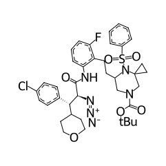 CC(C)(C)OC(=O)N1CC(CCc2c(F)cccc2NC(=O)[C@@H](N=[N+]=[N-])[C@@H](c2ccc(Cl)cc2)C2CCOCC2)N(S(=O)(=O)c2ccccc2)C2(CC2)C1